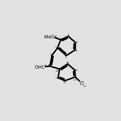 COc1ccccc1C=C(C=O)c1ccc(Cl)cc1